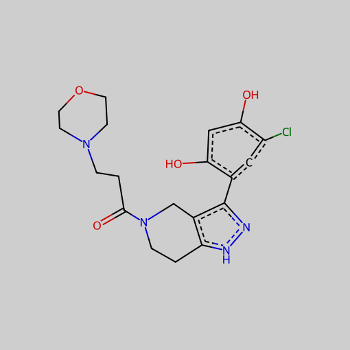 O=C(CCN1CCOCC1)N1CCc2[nH]nc(-c3cc(Cl)c(O)cc3O)c2C1